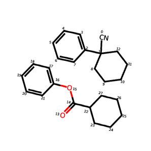 N#CC1(c2ccccc2)CCCCC1.O=C(Oc1ccccc1)C1CCCCC1